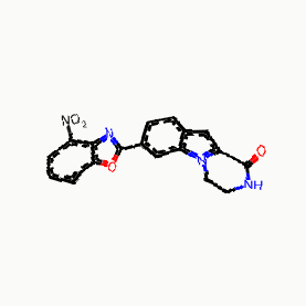 O=C1NCCn2c1cc1ccc(-c3nc4c([N+](=O)[O-])cccc4o3)cc12